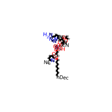 CCCCCCCCCCCCCCCCCCOC[C@H](COP(=O)(O)OO[C@@]1(C#N)O[C@@H](c2ccc3c(N)ncnn23)[C@@H]2OC(C)(C)O[C@@H]21)Oc1ccc(C#N)nc1